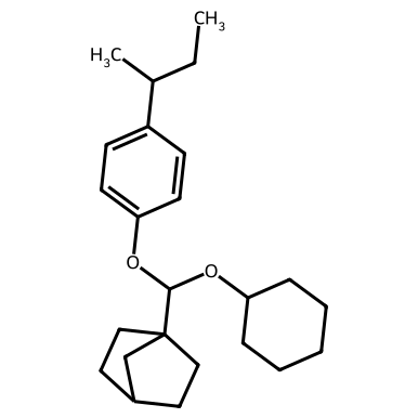 CCC(C)c1ccc(OC(OC2CCCCC2)C23CCC(CC2)C3)cc1